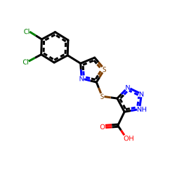 O=C(O)c1[nH]nnc1Sc1nc(-c2ccc(Cl)c(Cl)c2)cs1